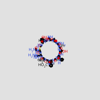 CCCC[C@H]1C(=O)N(C)[C@@H](CCCC)C(=O)N[C@@H](CCCNC(=N)N)CN[C@H](C(=O)NCC(N)=O)CSCC(=O)N[C@@H](Cc2ccc(O)cc2)C(=O)N(C)[C@@H](C)C(=O)N[C@@H](CC(N)=O)C(=O)N2CCC[C@H]2C(=O)N[C@@H](CN)C(=O)N[C@@H](CC(C)C)C(=O)N2C[C@H](O)C[C@H]2C(=O)N[C@@H](Cc2c[nH]c3ccccc23)C(=O)N[C@@H](C(C)C)C(=O)N[C@@H](Cc2cn(CC(=O)O)c3ccccc23)C(=O)N1C